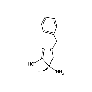 C[C@](N)(COCc1ccccc1)C(=O)O